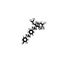 Cc1ccc(N=Nc2ccc(N=Nc3c(CC(C)C)nn(CC(C)C)c3O)cc2)cc1